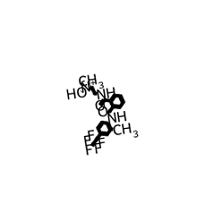 Cc1cc(C(F)(F)C(F)(F)F)ccc1NC(=O)c1ccccc1C(=O)NCC=[N+](C)O